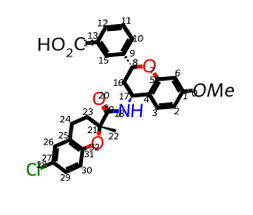 COc1ccc2c(c1)O[C@@H](c1cccc(C(=O)O)c1)C[C@H]2NC(=O)[C@@]1(C)CCc2cc(Cl)ccc2O1